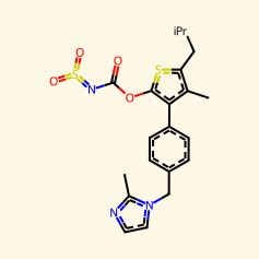 Cc1c(CC(C)C)sc(OC(=O)N=S(=O)=O)c1-c1ccc(Cn2ccnc2C)cc1